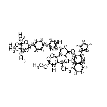 COC(=O)NC(C(=O)N1C[C@H](Oc2nc3ccccc3nc2-c2cccs2)C[C@H]1c1nc(-c2ccc(B3OC(C)(C)C(C)(C)O3)cc2)c[nH]1)C(C)C